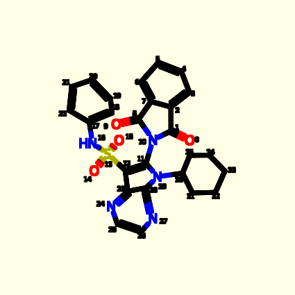 O=C1c2ccccc2C(=O)N1c1c(S(=O)(=O)Nc2ccccc2)c2nccnc2n1C1CCCCC1